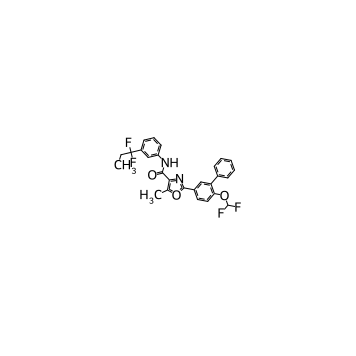 CCC(F)(F)c1cccc(NC(=O)c2nc(-c3ccc(OC(F)F)c(-c4ccccc4)c3)oc2C)c1